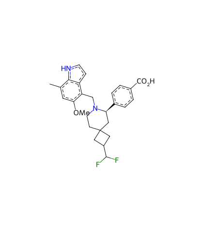 COc1cc(C)c2[nH]ccc2c1CN1CCC2(CC(C(F)F)C2)C[C@@H]1c1ccc(C(=O)O)cc1